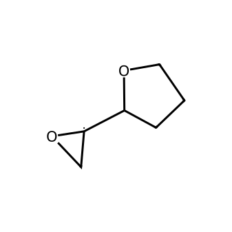 C1COC([C]2CO2)C1